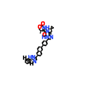 COC(=O)N[C@H](C(=O)N1CC2(CC2)C[C@H]1c1ncc(-c2ccc(-c3ccc4cc(-c5cnc([C@H]6C[C@@H]7CC[C@H]6C7)[nH]5)ccc4c3)cc2)[nH]1)C(C)C